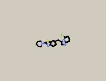 Fc1cccc2ncc(Cc3ccc4nc(N5CCCCC5)sc4c3)n12